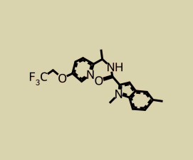 Cc1ccc2c(c1)cc(C(=O)NC(C)c1ccc(OCC(F)(F)F)cn1)n2C